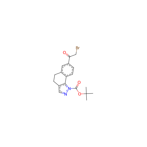 CC(C)(C)OC(=O)n1ncc2c1-c1ccc(C(=O)CBr)cc1CC2